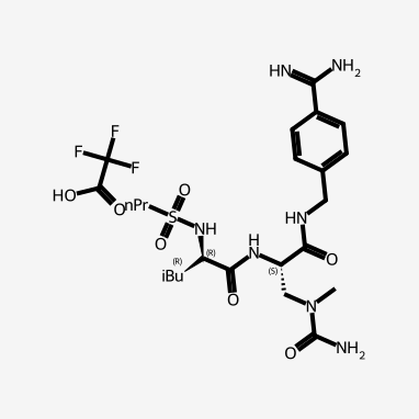 CCCS(=O)(=O)N[C@@H](C(=O)N[C@@H](CN(C)C(N)=O)C(=O)NCc1ccc(C(=N)N)cc1)[C@H](C)CC.O=C(O)C(F)(F)F